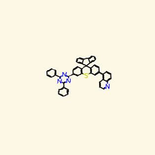 c1ccc(-c2nc(-c3ccccc3)nc(-c3ccc4c(c3)Sc3cc(-c5cccc6ncccc56)ccc3C43c4ccccc4-c4ccccc43)n2)cc1